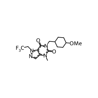 COC1CCC(Cn2c(=O)c3c(cnn3CC(F)(F)F)n(C)c2=O)CC1